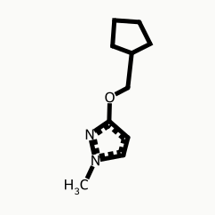 Cn1ccc(OCC2CCCC2)n1